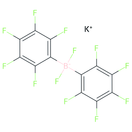 Fc1c(F)c(F)c([B-](F)(F)c2c(F)c(F)c(F)c(F)c2F)c(F)c1F.[K+]